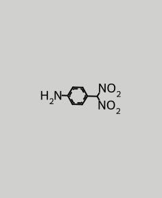 Nc1ccc(C([N+](=O)[O-])[N+](=O)[O-])cc1